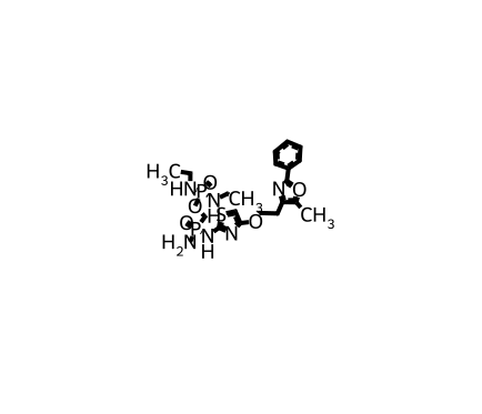 CCNP(=O)(NCC)OCP(N)(=O)Nc1nc(OCCc2nc(-c3ccccc3)oc2C)cs1